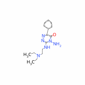 CCN(CC)CCNc1nnc(-c2ccccc2)c(=O)n1N